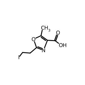 Cc1oc(CCI)nc1C(=O)O